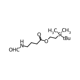 CC(C)(C)[Si](C)(C)CCOC(=O)CCCNC=O